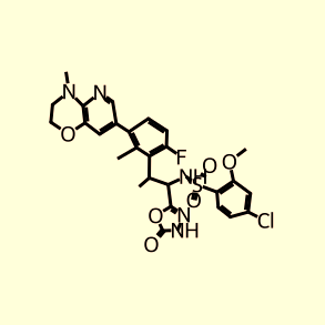 COc1cc(Cl)ccc1S(=O)(=O)NC(c1n[nH]c(=O)o1)C(C)c1c(F)ccc(-c2cnc3c(c2)OCCN3C)c1C